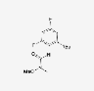 CON(C)C(=O)Nc1c(F)cc(F)cc1C(C)(C)C